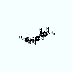 CNc1ccc2c(=O)n(-c3ccc(NC(=O)NS(=O)(=O)c4ccc(C)s4)cn3)cc(C#N)c2c1